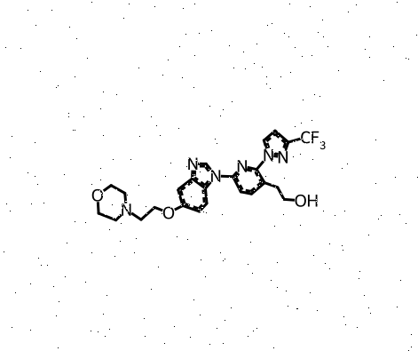 OCCc1ccc(-n2cnc3cc(OCCN4CCOCC4)ccc32)nc1-n1ccc(C(F)(F)F)n1